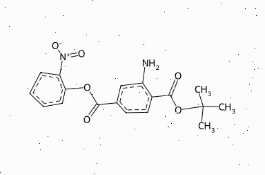 CC(C)(C)OC(=O)c1ccc(C(=O)Oc2ccccc2[N+](=O)[O-])cc1N